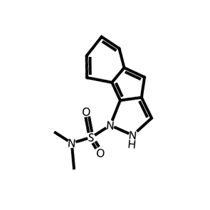 CN(C)S(=O)(=O)n1[nH]cc2cc3ccccc3c1-2